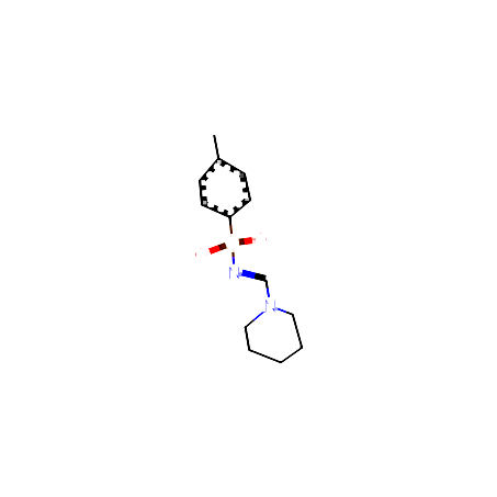 Cc1ccc(S(=O)(=O)/N=C/N2CCCCC2)cc1